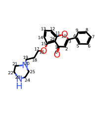 O=c1cc(-c2ccccc2)oc2cccc(OCCCN3CCNCC3)c12